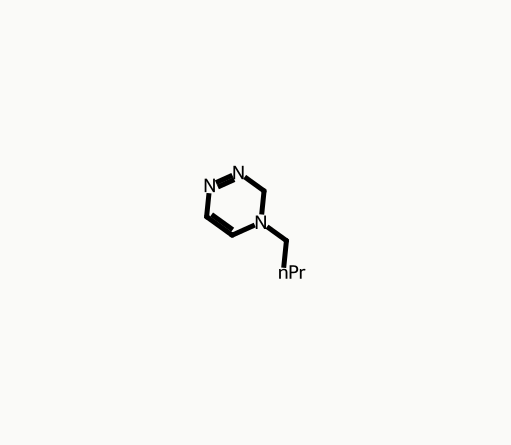 CCCCN1C=CN=NC1